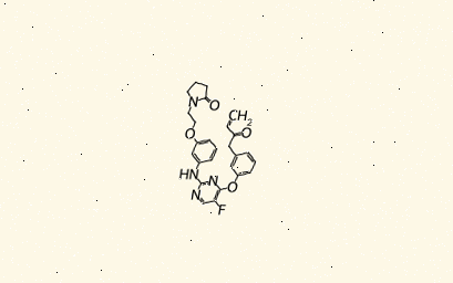 C=CC(=O)Cc1cccc(Oc2nc(Nc3cccc(OCCN4CCCC4=O)c3)ncc2F)c1